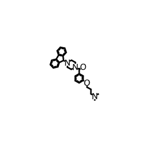 CN(C)CCCOc1cccc(C(=O)N2CCN(C3c4ccccc4-c4ccccc43)CC2)c1